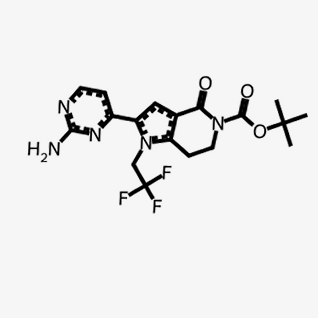 CC(C)(C)OC(=O)N1CCc2c(cc(-c3ccnc(N)n3)n2CC(F)(F)F)C1=O